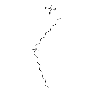 CCCCCCCCCC[N+](C)(C)CCCCCCCCCC.F[B-](F)(F)F